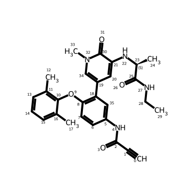 C#CC(=O)Nc1ccc(Oc2c(C)cccc2C)c(-c2cc(N[C@@H](C)C(=O)NCC)c(=O)n(C)c2)c1